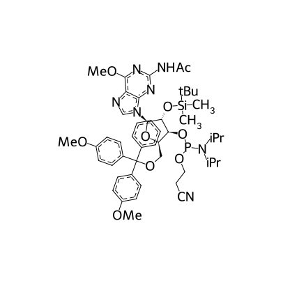 COc1ccc(C(OC[C@H]2O[C@@H](n3cnc4c(OC)nc(NC(C)=O)nc43)[C@H](O[Si](C)(C)C(C)(C)C)[C@H]2OP(OCCC#N)N(C(C)C)C(C)C)(c2ccccc2)c2ccc(OC)cc2)cc1